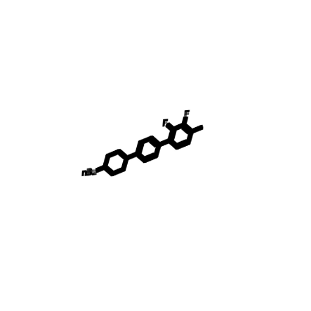 CCCCC1CCC(c2ccc(-c3ccc(C)c(F)c3F)cc2)CC1